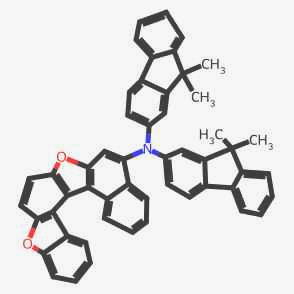 CC1(C)c2ccccc2-c2ccc(N(c3ccc4c(c3)C(C)(C)c3ccccc3-4)c3cc4oc5ccc6oc7ccccc7c6c5c4c4ccccc34)cc21